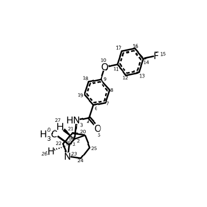 C[C@H]1[C@H](NC(=O)c2ccc(Oc3ccc(F)cc3)cc2)C2CCN1CC2